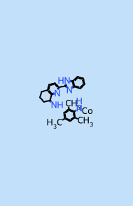 Cc1cc(C)c([NH][Co])c(C)c1.N=C1CCCc2ccc(-c3nc4ccccc4[nH]3)nc21